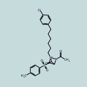 CC(=O)N1C2C(=O)[N+]1(CCCCCCc1ccc(Cl)cc1)C2S(=O)(=O)c1ccc(C)cc1